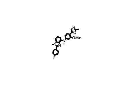 COc1cc(Nc2cccc3c2nc(-c2ccc(F)cc2)n3C)ccc1-c1cnc(C)o1